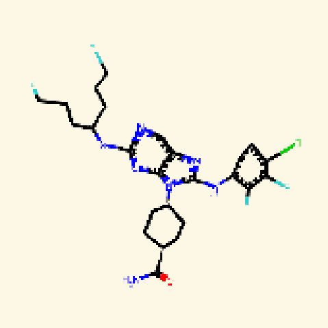 NC(=O)[C@H]1CC[C@@H](n2c(Nc3ccc(Cl)c(F)c3F)nc3cnc(NC(CCCF)CCCF)nc32)CC1